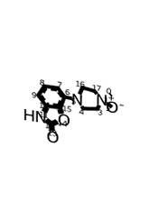 C[N+]1([O-])CCN(c2cccc3[nH]c(=O)oc23)CC1